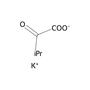 CC(C)C(=O)C(=O)[O-].[K+]